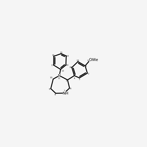 COc1ccc(C2CNCCCN2c2ccccc2)cc1